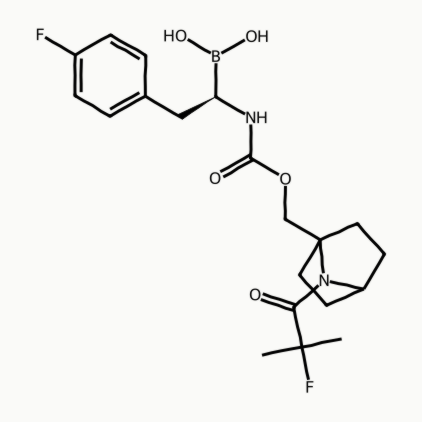 CC(C)(F)C(=O)N1C2CCC1(COC(=O)N[C@@H](Cc1ccc(F)cc1)B(O)O)CC2